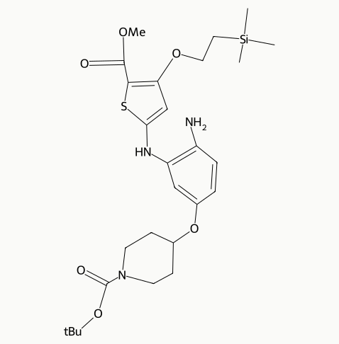 COC(=O)c1sc(Nc2cc(OC3CCN(C(=O)OC(C)(C)C)CC3)ccc2N)cc1OCC[Si](C)(C)C